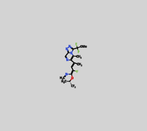 C=N/C(O[C@@H](C)C(F)(F)F)=C(F)\C=C(/C)c1ncc2nnc(C(F)(F)OC)n2c1C